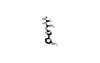 CNC(=O)N/C(N)=N/c1nc(-c2cccc(N)n2)cs1